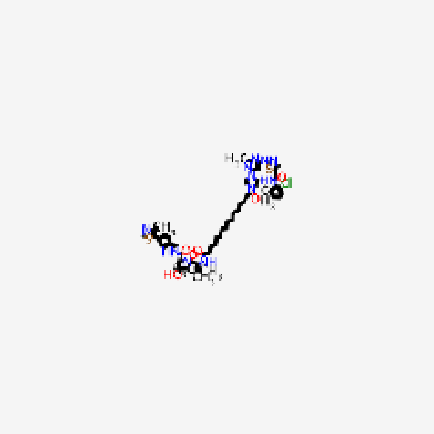 Cc1nc(Nc2ncc(C(=O)Nc3c(C)cccc3Cl)s2)cc(N2CCN(C(=O)CCCCCCCCCCCCCCC(=O)NC(C(=O)N3C[C@H](O)C[C@H]3C(=O)NCc3ccc(-c4scnc4C)cc3)C(C)(C)C)CC2)n1